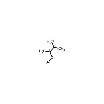 CC(C)C(C)O[N]